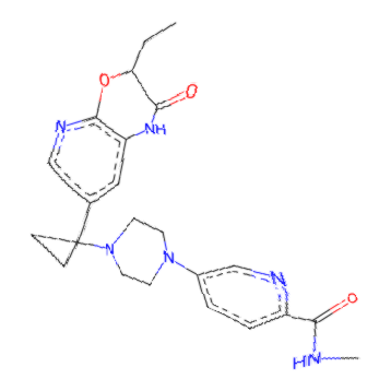 CCC1Oc2ncc(C3(N4CCN(c5ccc(C(=O)NC)nc5)CC4)CC3)cc2NC1=O